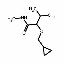 CNC(=O)C(OCC1CC1)C(C)C